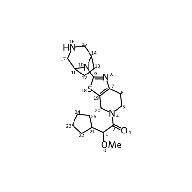 COC(C(=O)N1CCc2nc(N3C4CCC3CNC4)sc2C1)C1CCCC1